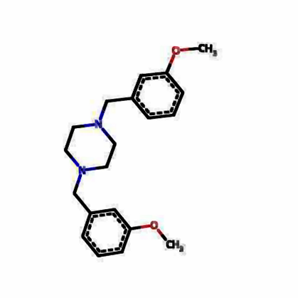 COc1cccc(CN2CCN(Cc3cccc(OC)c3)CC2)c1